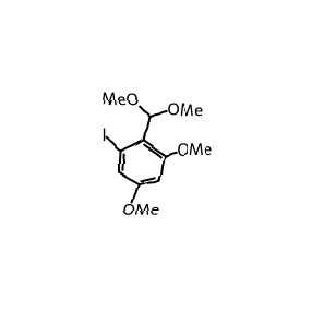 COc1cc(I)c(C(OC)OC)c(OC)c1